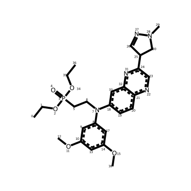 CCOP(=O)(CCN(c1cc(OC)cc(OC)c1)c1ccc2ncc(C3C=NN(C)C3)nc2c1)OCC